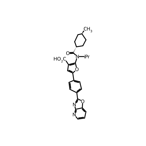 CC(C)N(c1oc(-c2ccc(-c3nc4ncccc4o3)cc2)cc1C(=O)O)C(=O)[C@H]1CC[C@H](C)CC1